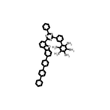 Bc1c(B)c(B)c(-c2cccc(-c3nc(-c4ccccc4)nc(-c4cccc5c4oc4ccc(-c6ccc(-c7ccc(-c8ccccc8)cc7)cc6)cc45)n3)c2)c(B)c1B